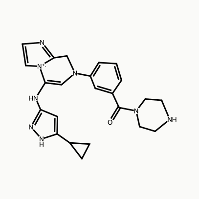 O=C(c1cccc(N2C=C(Nc3cc(C4CC4)[nH]n3)[N+]3C=CN=C3C2)c1)N1CCNCC1